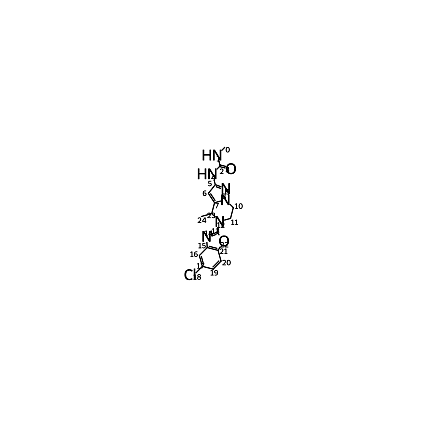 CNC(=O)Nc1cc2n(n1)CCN(c1nc3cc(Cl)ccc3o1)C2C